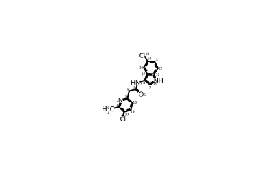 Cc1nc(CC(=O)Nc2c[nH]c3ccc(Cl)cc23)ccc1Cl